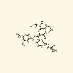 CCC(C)(C)C(=O)C(=O)N1CCCCC1C(=O)OC(CCc1ccc(OC)c(OC)c1)c1cccc(OCC(=O)O)c1